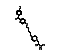 CCN(CC)C(=O)CN1CCN(CCCCCOc2ccc(C(=O)c3ccc(Cl)cc3)cc2)CC1